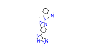 CN(C)CCN(Cc1ccccc1)c1ncc2cc(-c3ncnc4[nH]ncc34)ccc2n1